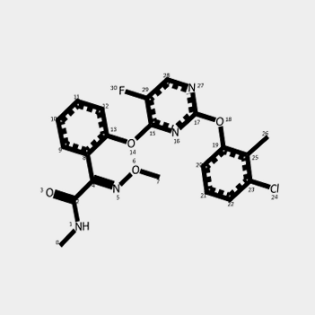 CNC(=O)/C(=N/OC)c1ccccc1Oc1nc(Oc2cccc(Cl)c2C)ncc1F